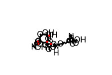 CC[C@H]1OC(=O)[C@H](C)[C@@H](O[C@H]2C[C@@](C)(OC)[C@@H](OC(=O)NCCOCCCc3ccc4c(c3)c(=O)c(C(=O)O)cn4N(C)C)[C@H](C)O2)[C@H](C)[C@@H](O[C@@H]2O[C@H](C)C[C@H](N(C)C)[C@H]2O)[C@](C)(OC)C[C@@H](C)C(=O)[C@@H](C)[C@@H](O)[C@]1(C)O